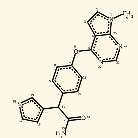 Cn1ccc2c(Oc3ccc(C(C(N)=O)c4ccsc4)cc3)ncnc21